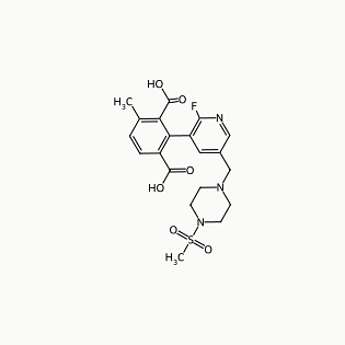 Cc1ccc(C(=O)O)c(-c2cc(CN3CCN(S(C)(=O)=O)CC3)cnc2F)c1C(=O)O